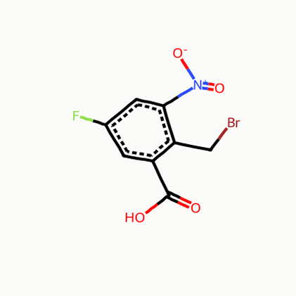 O=C(O)c1cc(F)cc([N+](=O)[O-])c1CBr